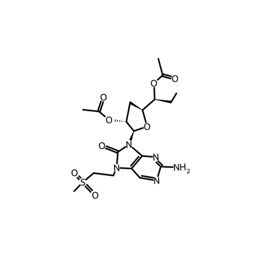 CC[C@H](OC(C)=O)[C@@H]1C[C@@H](OC(C)=O)[C@H](n2c(=O)n(CCS(C)(=O)=O)c3cnc(N)nc32)O1